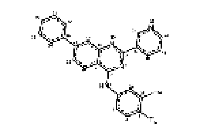 Fc1ccc(Nc2nc(-c3cccnc3)nc3cc(-c4cccnc4)ccc23)cc1F